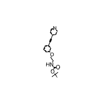 CC(C)(C)OC(=O)NCCOc1cccc(C#Cc2ccncc2)c1